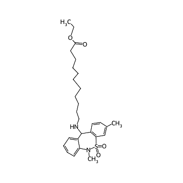 CCOC(=O)CCCCCCCCCCNC1c2ccccc2N(C)S(=O)(=O)c2cc(C)ccc21